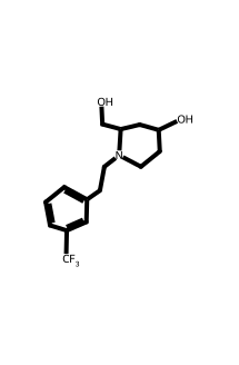 OCC1CC(O)CCN1CCc1cccc(C(F)(F)F)c1